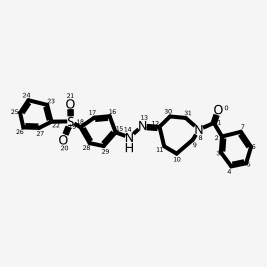 O=C(c1ccccc1)N1CCC/C(=N\Nc2ccc(S(=O)(=O)c3ccccc3)cc2)CC1